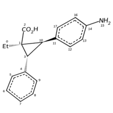 CC[C@@]1(C(=O)O)[C@@H](c2ccccc2)[C@@H]1c1ccc(N)cc1